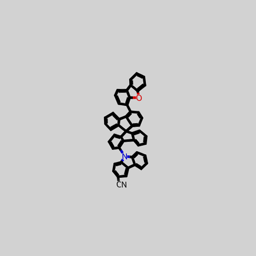 N#Cc1ccc2c(c1)c1ccccc1n2-c1cccc2c1-c1ccccc1C21c2ccccc2-c2c(-c3cccc4c3oc3ccccc34)cccc21